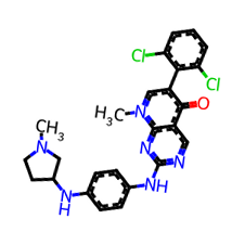 CN1CCC(Nc2ccc(Nc3ncc4c(=O)c(-c5c(Cl)cccc5Cl)cn(C)c4n3)cc2)C1